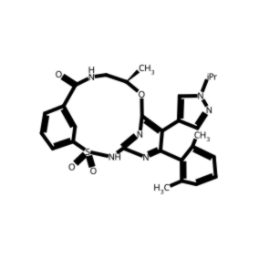 Cc1cccc(C)c1-c1nc2nc(c1-c1cnn(C(C)C)c1)O[C@H](C)CNC(=O)c1cccc(c1)S(=O)(=O)N2